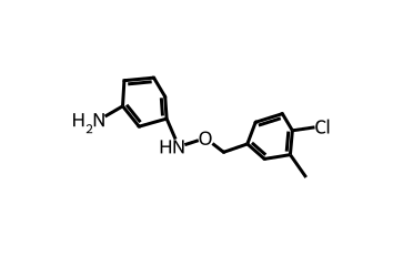 Cc1cc(CONc2cccc(N)c2)ccc1Cl